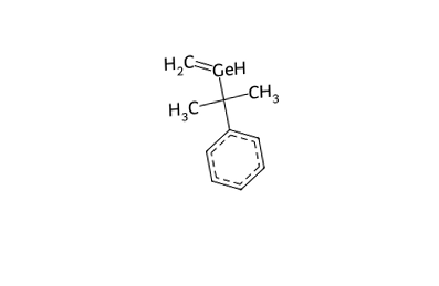 [CH2]=[GeH][C](C)(C)c1ccccc1